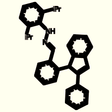 CC(C)c1cccc(C(C)C)c1NN=Cc1ccccc1C1C(c2ccccc2)=Cc2ccccc21